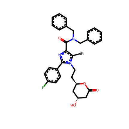 CC(C)c1c(C(=O)N(Cc2ccccc2)Cc2ccccc2)nc(-c2ccc(F)cc2)n1CC[C@@H]1C[C@@H](O)CC(=O)O1